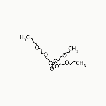 CCCCOCCOCCOP(=O)(OCCOCCC)OCCOCCC